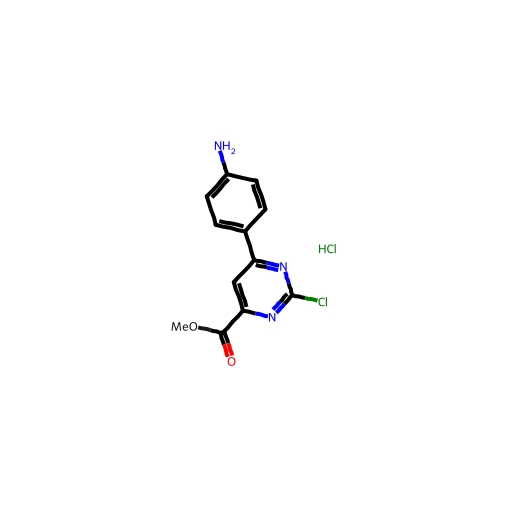 COC(=O)c1cc(-c2ccc(N)cc2)nc(Cl)n1.Cl